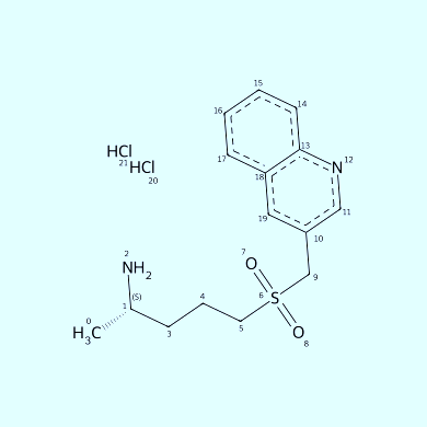 C[C@H](N)CCCS(=O)(=O)Cc1cnc2ccccc2c1.Cl.Cl